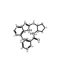 Nc1ncnc2nc(SC3CCCC3NC(=O)c3cccnc3)[nH]c12